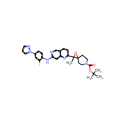 CC(C)(C)OC(=O)N1CCC2(CC1)OC2(C)c1ccc2cnc(Nc3ccc(-n4cccn4)cc3F)cc2n1